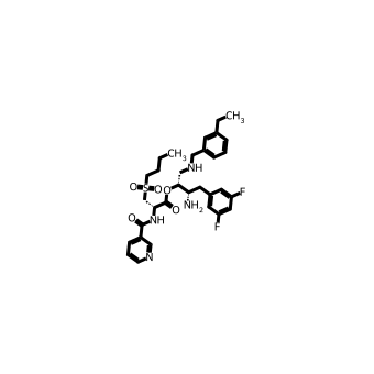 CCCCS(=O)(=O)C[C@@H](NC(=O)c1cccnc1)C(=O)O[C@H](CNCc1cccc(CC)c1)[C@@H](N)Cc1cc(F)cc(F)c1